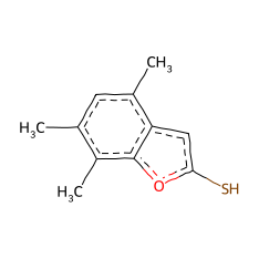 Cc1cc(C)c2cc(S)oc2c1C